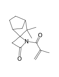 C=C(C)C(=O)N1C(=O)CC12C1CCC(C1)C2(C)C